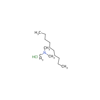 CCCCCCCCCC.CN(C)C.Cl